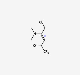 CN(C)/C(=C\C(=O)C(F)(F)F)CCl